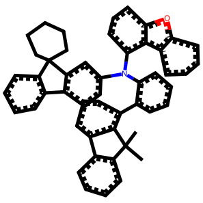 CC1(C)c2ccccc2-c2cccc(-c3ccccc3N(c3ccc4c(c3)C3(CCCCC3)c3ccccc3-4)c3cccc4oc5ccccc5c34)c21